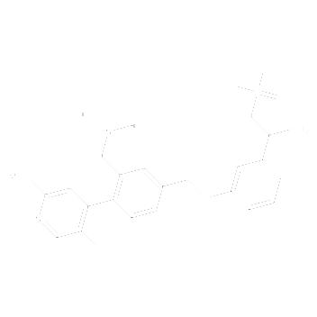 COc1cc(-c2ccc(COc3cccc(C(C)CP(C)(=O)O)c3)cc2CN(C(C)C)C(C)C)c(F)cn1